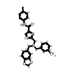 Cc1ccc(NC(=O)c2csc(CN(Cc3cccc(C(F)(F)F)c3)Cc3ccc4c(c3)OCO4)n2)cc1